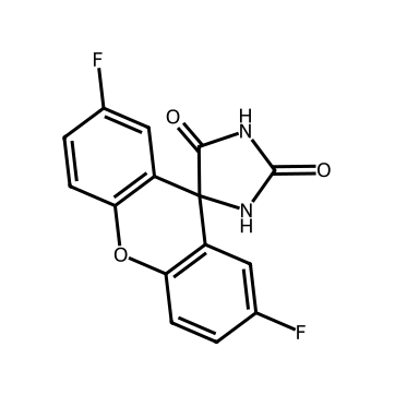 O=C1NC(=O)C2(N1)c1cc(F)ccc1Oc1ccc(F)cc12